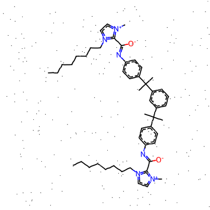 CCCCCCCCn1cc[n+](C)c1/C([O-])=N/c1ccc(C(C)(C)c2cccc(C(C)(C)c3ccc(/N=C(\[O-])c4n(CCCCCCCC)cc[n+]4C)cc3)c2)cc1